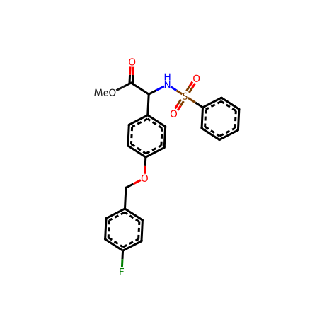 COC(=O)C(NS(=O)(=O)c1ccccc1)c1ccc(OCc2ccc(F)cc2)cc1